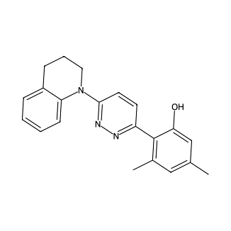 Cc1cc(C)c(-c2ccc(N3CCCc4ccccc43)nn2)c(O)c1